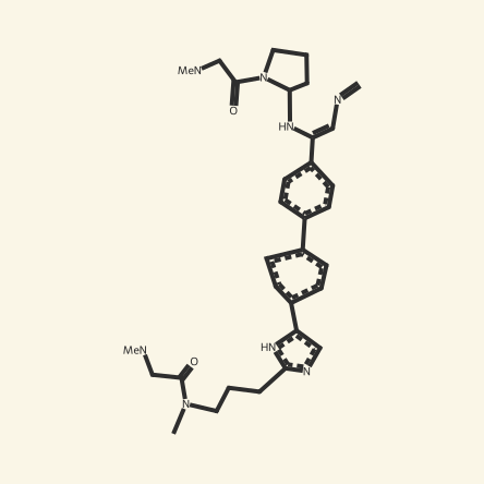 C=N/C=C(\NC1CCCN1C(=O)CNC)c1ccc(-c2ccc(-c3cnc(CCCN(C)C(=O)CNC)[nH]3)cc2)cc1